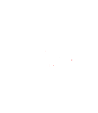 CC(C)CCOC(=O)c1cccc(O)c1OO